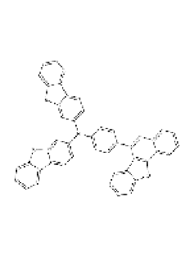 c1ccc2c(c1)cc(-c1ccc(N(c3ccc4c(c3)sc3ccccc34)c3ccc4c(c3)sc3ccccc34)cc1)c1c3ccccc3oc21